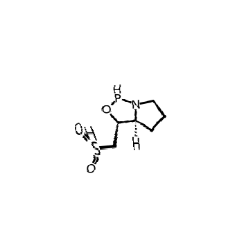 O=[SH](=O)C[C@H]1OPN2CCC[C@@H]12